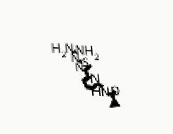 NC(N)=Nc1nc(-c2cccc(CNC(=O)C3CC3)n2)cs1